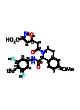 COc1ccc2c(c1)CCN(C(=O)Cc1cc(C(=O)O)no1)C2C(=O)Nc1cc(F)c(C(C)(C)C)c(F)c1